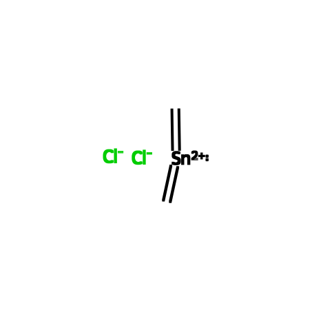 [CH2]=[Sn+2]=[CH2].[Cl-].[Cl-]